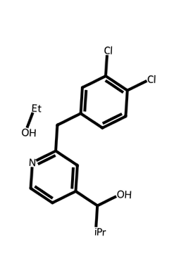 CC(C)C(O)c1ccnc(Cc2ccc(Cl)c(Cl)c2)c1.CCO